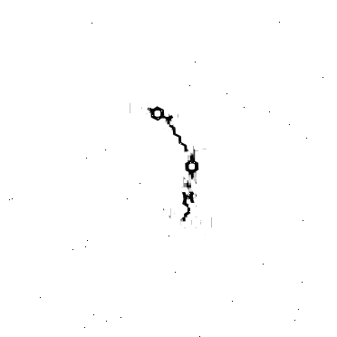 CCN(CCCCCCOC(=O)c1ccc(O)cc1)c1ccc(/N=N/c2nc3sc(/C=C(\C#N)C(=O)O)cc3s2)cc1